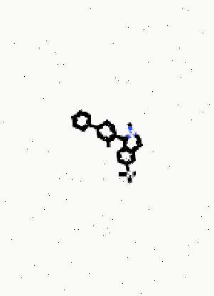 Cc1cc(-c2ccccc2)ccc1-c1c2ccc([Si](C)(C)C)cc2cc[n+]1C